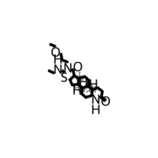 CCNC(=S)N(CCCOCC)C(=O)C1CC[C@H]2[C@@H]3CCC4NC(=O)CC[C@]4(C)[C@@H]3CC[C@]12C